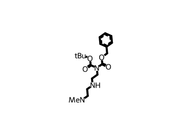 CNCCNCCN(C(=O)OCc1ccccc1)C(=O)OC(C)(C)C